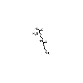 NCCCCC(=O)NCCC[C@H](N)C(=O)O